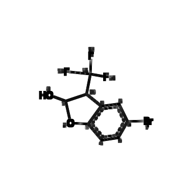 OC1Oc2ccc(Br)cc2C1C(F)(F)F